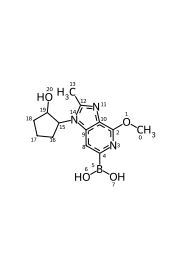 COc1nc(B(O)O)cc2c1nc(C)n2C1CCCC1O